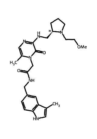 COCCN1CCC[C@@H]1CNc1ncc(C)n(CC(=O)NCc2ccc3[nH]cc(C)c3c2)c1=O